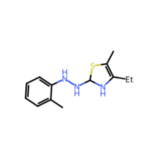 CCC1=C(C)SC(NNc2ccccc2C)N1